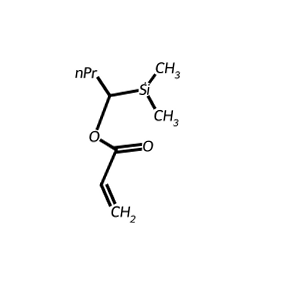 C=CC(=O)OC(CCC)[Si](C)C